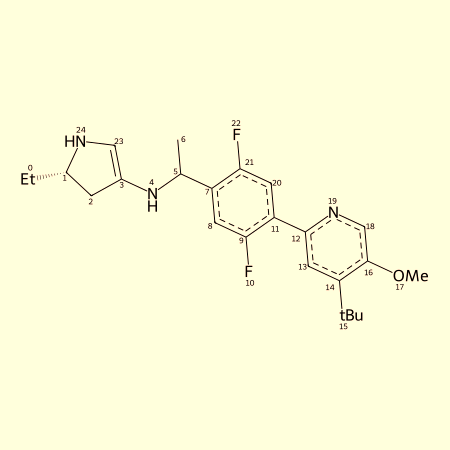 CC[C@H]1CC(NC(C)c2cc(F)c(-c3cc(C(C)(C)C)c(OC)cn3)cc2F)=CN1